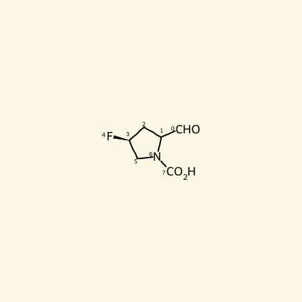 O=CC1C[C@H](F)CN1C(=O)O